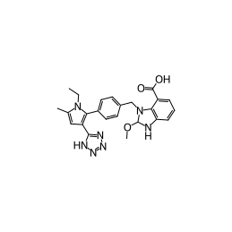 CCn1c(C)cc(-c2nnn[nH]2)c1-c1ccc(CN2c3c(cccc3C(=O)O)NC2OC)cc1